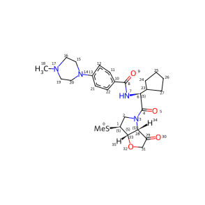 CS[C@H]1CN(C(=O)[C@@H](NC(=O)c2ccc(N3CCN(C)CC3)cc2)C2CCCC2)[C@@H]2C(=O)CO[C@H]12